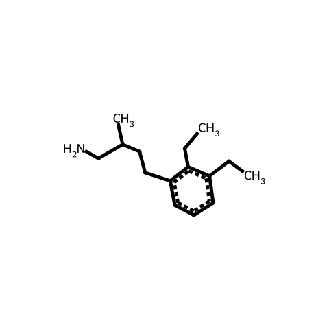 CCc1cccc(CCC(C)CN)c1CC